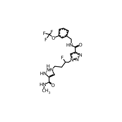 CNC(=O)C1=CN(CCC(F)Cn2cc(C(=O)NCc3cccc(OC(F)(F)F)c3)nn2)NN1